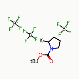 CC(C)(C)OC(=O)N1CCC[CH]1[K].F[B-](F)(F)F.F[B-](F)(F)F.F[B-](F)(F)F